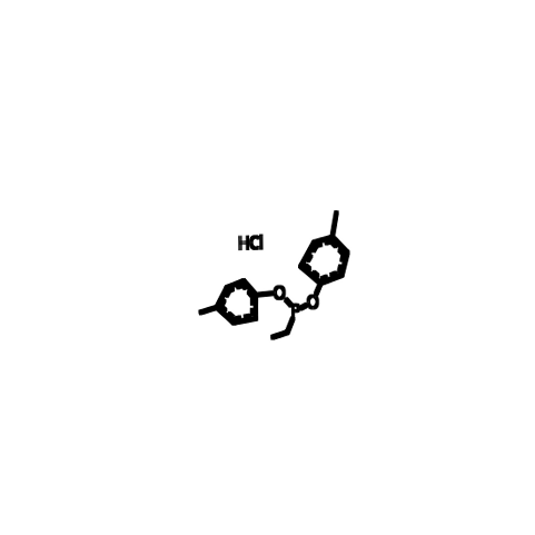 CCP(Oc1ccc(C)cc1)Oc1ccc(C)cc1.Cl